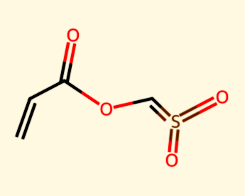 C=CC(=O)OC=S(=O)=O